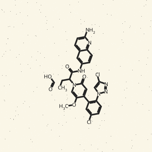 CCC(C(=O)Nc1ccc2nc(N)ccc2c1)n1cc(OC)c(-c2cc(Cl)ccc2-n2cc(Cl)nn2)cc1=O.O=CO